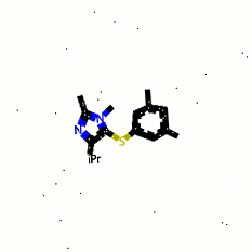 Cc1cc(C)cc(Sc2c(C(C)C)nc(C)n2C)c1